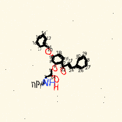 CCCNCC(O)COc1cc(OCc2ccccc2)ccc1C(=O)C=Cc1ccccc1